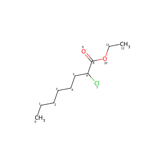 CCCCCCC(Cl)C(=O)OCC